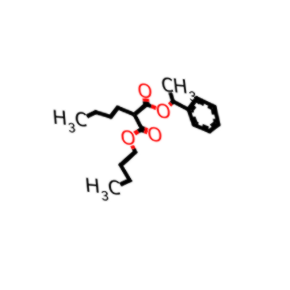 CCCCOC(=O)C(CCCC)C(=O)OC(C)c1ccccc1